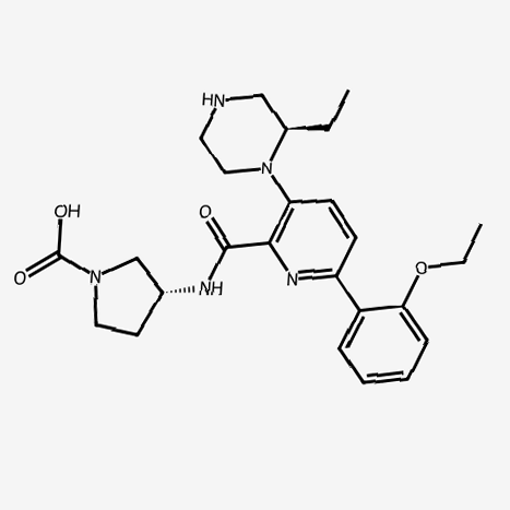 CCOc1ccccc1-c1ccc(N2CCNC[C@H]2CC)c(C(=O)N[C@@H]2CCN(C(=O)O)C2)n1